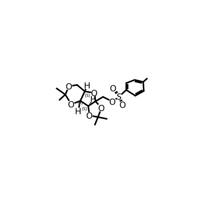 Cc1ccc(S(=O)(=O)OCC23O[C@H]4COC(C)(C)O[C@H]4[C@@H]2OC(C)(C)O3)cc1